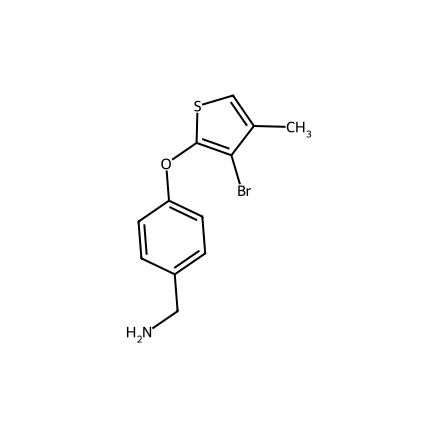 Cc1csc(Oc2ccc(CN)cc2)c1Br